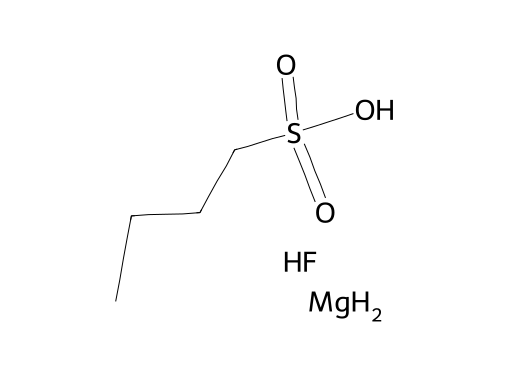 CCCCS(=O)(=O)O.F.[MgH2]